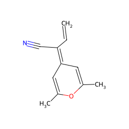 C=CC(C#N)=C1C=C(C)OC(C)=C1